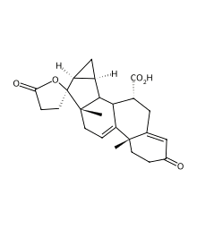 C[C@]12CCC(=O)C=C1C[C@@H](C(=O)O)C1C2=CC[C@@]2(C)C1[C@@H]1C[C@@H]1[C@@]21CCC(=O)O1